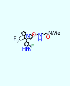 CNC(=O)/C=C/CNCCOc1ccc(/C(=C(/CC(F)(F)F)c2ccccc2)c2ccc3[nH]nc(F)c3c2)nc1